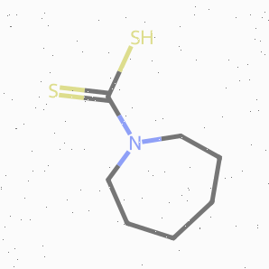 S=C(S)N1CCCCCC1